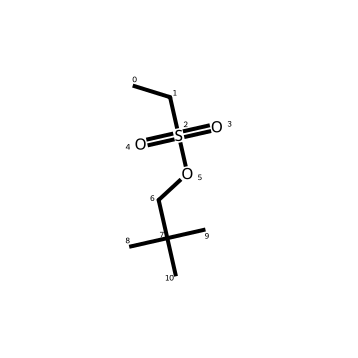 CCS(=O)(=O)OCC(C)(C)C